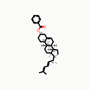 CC(C)=C/C=C/[C@@H](C)[C@H]1CC[C@H]2[C@@H]3CC=C4C[C@@H](OC(=O)c5ccccc5)CC[C@]4(C)[C@H]3CC[C@]12C